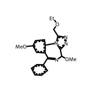 CCOCc1nnc2n1-c1ccc(OC)cc1C(c1ccccc1)=NC2OC